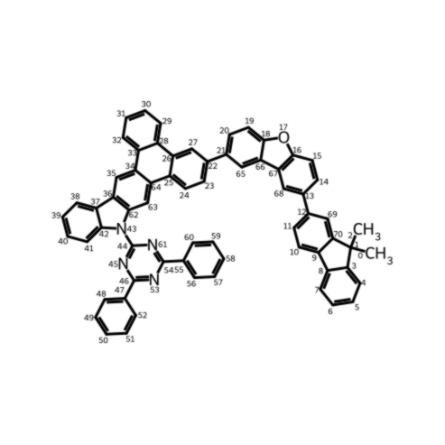 CC1(C)c2ccccc2-c2ccc(-c3ccc4oc5ccc(-c6ccc7c(c6)c6ccccc6c6cc8c9ccccc9n(-c9nc(-c%10ccccc%10)nc(-c%10ccccc%10)n9)c8cc76)cc5c4c3)cc21